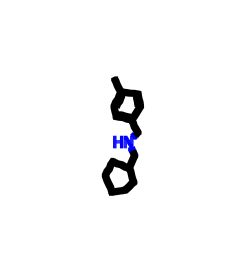 Cc1ccc(CNCC2CCCCC2)cc1